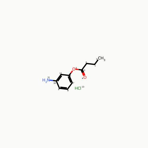 CCCC(=O)Oc1cccc(N)c1.Cl